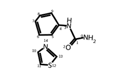 NC(=O)Nc1ccccc1.c1cscn1